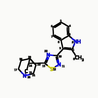 Cc1[nH]c2ccccc2c1-c1nsc(C2CN3CCC2CC3)n1